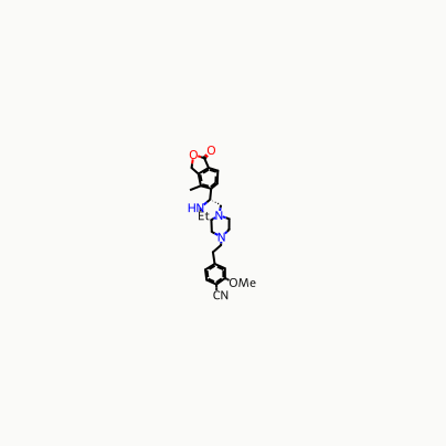 CCN[C@@H](CN1CCN(CCc2ccc(C#N)c(OC)c2)CC1)c1ccc2c(c1C)COC2=O